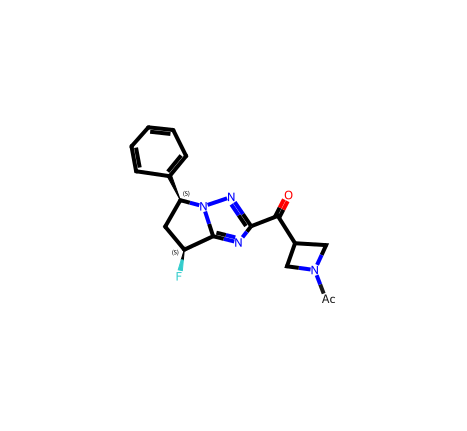 CC(=O)N1CC(C(=O)c2nc3n(n2)[C@H](c2ccccc2)C[C@@H]3F)C1